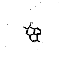 CC1=Cc2ccc(C)c3cccc(c23)C1O